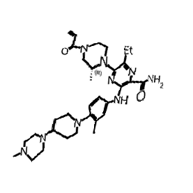 C=CC(=O)N1CCN(c2nc(Nc3ccc(N4CCC(N5CCN(C)CC5)CC4)c(C)c3)c(C(N)=O)nc2CC)[C@H](C)C1